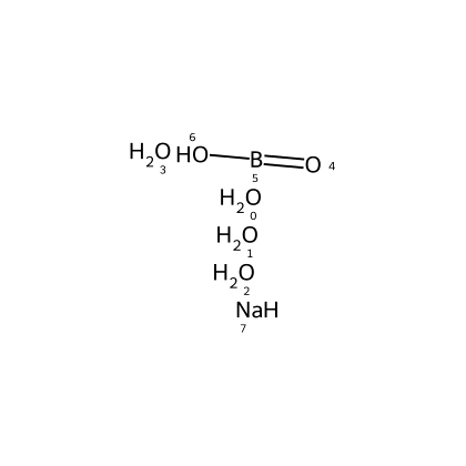 O.O.O.O.O=BO.[NaH]